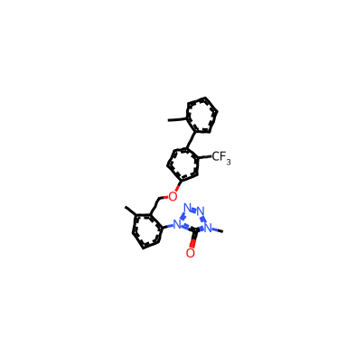 Cc1ccccc1-c1ccc(OCc2c(C)cccc2-n2nnn(C)c2=O)cc1C(F)(F)F